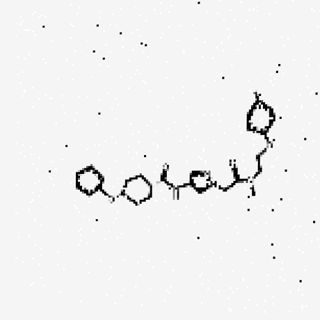 Cc1ccc(OCCN(C)C(=O)Cn2cc(NC(=O)[C@H]3CC[C@@H](Oc4ccccc4)CC3)cn2)cc1